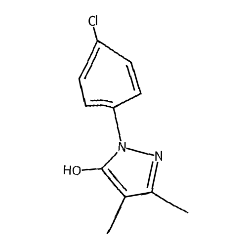 Cc1nn(-c2ccc(Cl)cc2)c(O)c1C